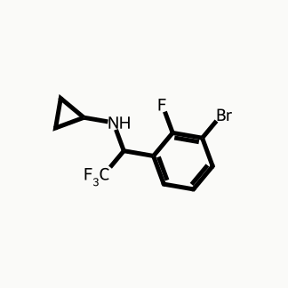 Fc1c(Br)cccc1C(NC1CC1)C(F)(F)F